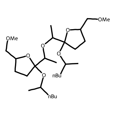 CCCCC(C)OC1(C(C)OC(C)C2(OC(C)CCCC)CCC(COC)O2)CCC(COC)O1